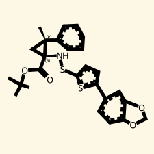 CC(C)(C)OC(=O)[C@]1(NSc2ccc(-c3ccc4c(c3)OCO4)s2)C[C@]1(C)c1ccccc1